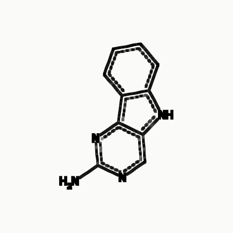 Nc1ncc2[nH]c3ccccc3c2n1